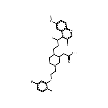 COc1ccc2ncc(F)c(C(F)CCC3CCN(CCSc4cc(F)ccc4F)CC3CC(=O)O)c2c1